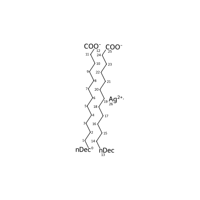 CCCCCCCCCCCCCCCCCCCCCC(=O)[O-].CCCCCCCCCCCCCCCCCCCCCC(=O)[O-].[Ag+2]